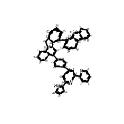 c1ccc(-c2cc(-c3ccc(-c4cc5c(c6ccccc46)Cc4cccc(-c6cccc7c6sc6ccccc67)c4-5)cc3)cc(-c3ccc[nH]3)n2)nc1